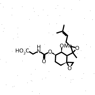 CO[C@H]1C(C2(C)O[C@@H]2CC=C(C)C)[C@]2(CC[C@H]1OC(=O)NCC(=O)O)CO2